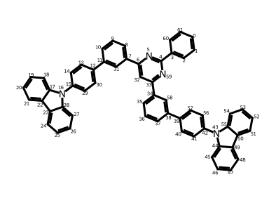 c1ccc(-c2nc(-c3cccc(-c4ccc(-n5c6ccccc6c6ccccc65)cc4)c3)cc(-c3cccc(-c4ccc(-n5c6ccccc6c6ccccc65)cc4)c3)n2)cc1